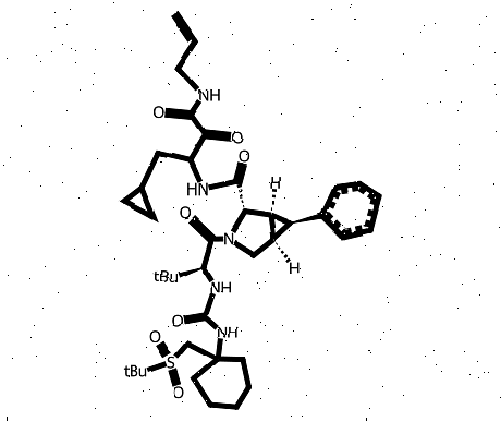 C=CCNC(=O)C(=O)C(CC1CC1)NC(=O)[C@@H]1[C@@H]2[C@H](CN1C(=O)[C@@H](NC(=O)NC1(CS(=O)(=O)C(C)(C)C)CCCCC1)C(C)(C)C)[C@@H]2c1ccccc1